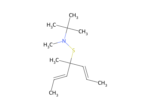 CC=CC(C)(C=CC)SN(C)C(C)(C)C